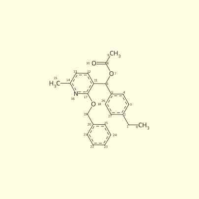 CCc1ccc(C(OC(C)=O)c2ccc(C)nc2OCc2ccccc2)cc1